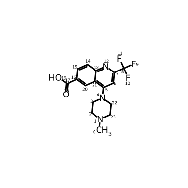 CN1CCN(c2cc(C(F)(F)F)nc3ccc(C(=O)O)cc23)CC1